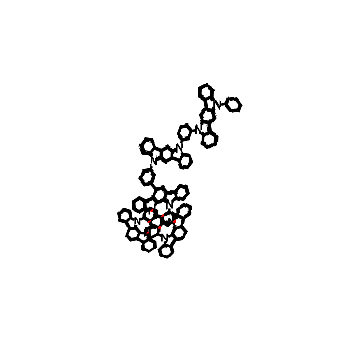 c1ccc(-n2c3ccccc3c3cc4c(cc32)c2ccccc2n4-c2cccc(-n3c4ccccc4c4cc5c(cc43)c3ccccc3n5-c3cccc(-c4cc5c6ccccc6n(-c6ccccc6)c5c5c4c4ccccc4n5-c4cc(-n5c6ccccc6c6ccc7c8ccccc8n(-c8ccccc8)c7c65)cc(-n5c6ccccc6c6ccc7c8ccccc8n(-c8ccccc8)c7c65)c4)c3)c2)cc1